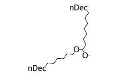 CCCCCCCCCCCCCCCCCC([O])OCCCCCCCCCCCCCCCC